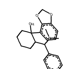 CN(C)C(c1ccccc1)C1CCCCC1(O)c1cccc2c1OCO2